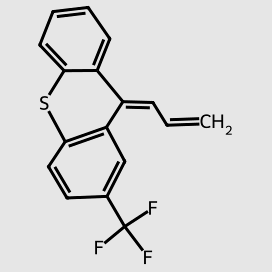 C=CC=C1c2ccccc2Sc2ccc(C(F)(F)F)cc21